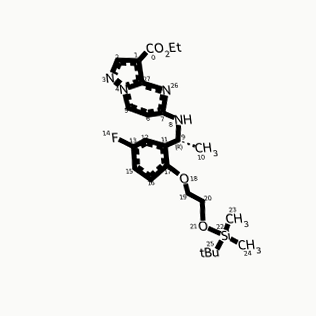 CCOC(=O)c1cnn2ccc(N[C@H](C)c3cc(F)ccc3OCCO[Si](C)(C)C(C)(C)C)nc12